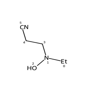 CCN(O)CCC#N